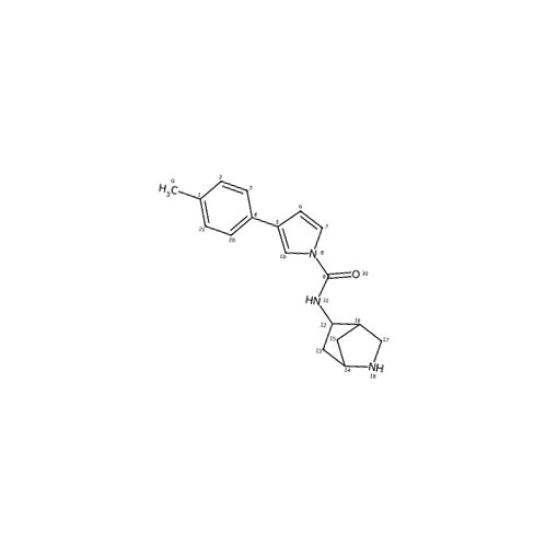 Cc1ccc(-c2ccn(C(=O)NC3CC4CC3CN4)c2)cc1